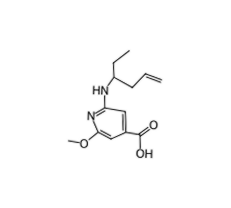 C=CCC(CC)Nc1cc(C(=O)O)cc(OC)n1